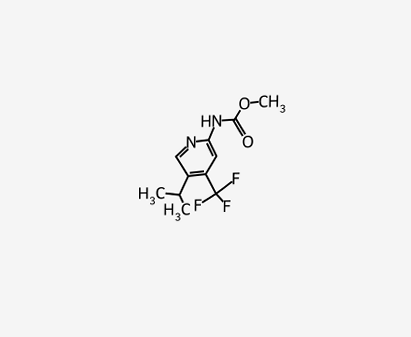 COC(=O)Nc1cc(C(F)(F)F)c(C(C)C)cn1